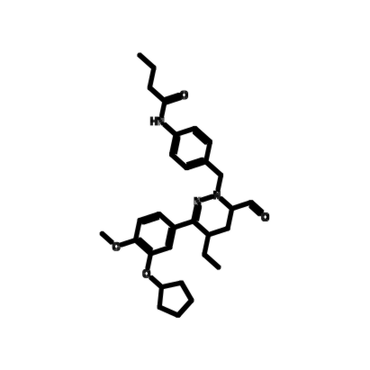 CCCC(=O)Nc1ccc(CN2N=C(c3ccc(OC)c(OC4CCCC4)c3)C(CC)CC2C=O)cc1